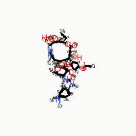 CCOc1cccc(O[C@H]2[C@H](O[C@@H]3[C@@H](C)[C@H](O)[C@@H](C)C(=O)O[C@H](CC)[C@@](C)(O)[C@H](O)[C@@H](C)NC[C@H](C)C[C@@]3(C)O)O[C@H](C)C[C@@H]2N(C)C(=O)N(C)c2ccc(N(C)C)cc2)c1